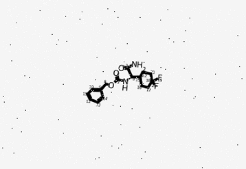 NC(=O)[C@@H](NC(=O)OCc1ccccc1)C1CCC(F)(F)CC1